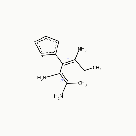 CC/C(N)=C(\C(N)=C(/C)N)c1cccs1